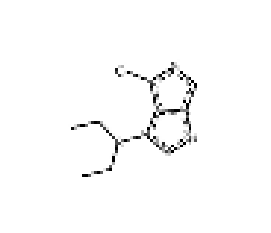 CCN(CC)n1cnn2cnc(Cl)c12